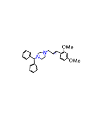 COc1ccc(/C=C/CN2CCN(C(c3ccccc3)c3ccccc3)CC2)c(OC)c1